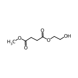 COC(=O)CCC(=O)OCCO